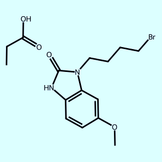 CCC(=O)O.COc1ccc2[nH]c(=O)n(CCCCBr)c2c1